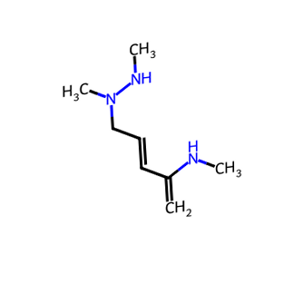 C=C(/C=C/CN(C)NC)NC